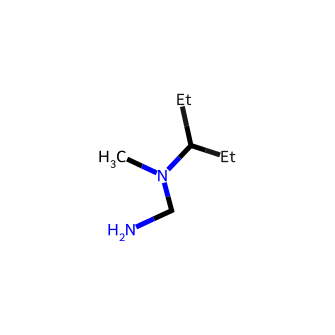 CCC(CC)N(C)CN